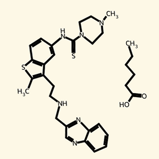 CCCCCC(=O)O.Cc1sc2ccc(NC(=S)N3CCN(C)CC3)cc2c1CCNCc1cnc2ccccc2n1